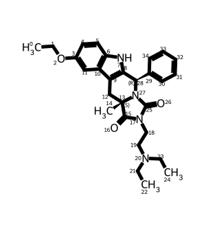 CCOc1ccc2[nH]c3c(c2c1)C[C@@]1(C)C(=O)N(CCN(CC)CC)C(=O)N1[C@@H]3c1ccccc1